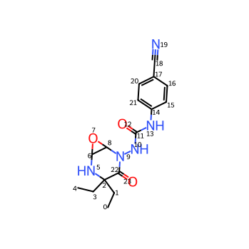 CCC1(CC)NC2OC2N(NC(=O)Nc2ccc(C#N)cc2)C1=O